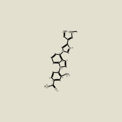 CN/C=C(\C=N)c1cn(-c2cccc3c2ccn3-c2ccc(C(N)=O)cc2N)cn1